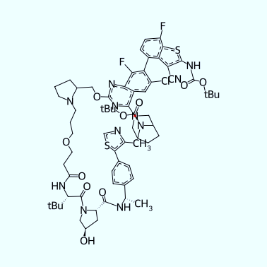 Cc1ncsc1-c1ccc([C@H](C)NC(=O)[C@@H]2C[C@@H](O)CN2C(=O)[C@@H](NC(=O)CCOCCCN2CCCC2COc2nc(N3CC4CCC(C3)N4C(=O)OC(C)(C)C)c3cc(Cl)c(-c4ccc(F)c5sc(NC(=O)OC(C)(C)C)c(C#N)c45)c(F)c3n2)C(C)(C)C)cc1